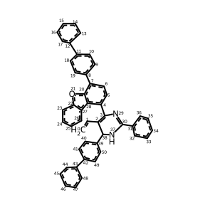 C=CC1=C(c2ccc(-c3ccc(-c4ccccc4)cc3)c3oc4ccccc4c23)N=C(c2ccccc2)NC1c1ccc(-c2ccccc2)cc1